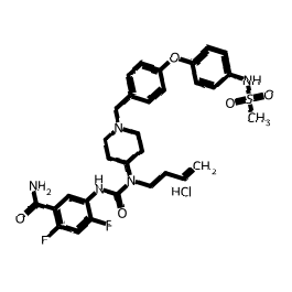 C=CCCN(C(=O)Nc1cc(C(N)=O)c(F)cc1F)C1CCN(Cc2ccc(Oc3ccc(NS(C)(=O)=O)cc3)cc2)CC1.Cl